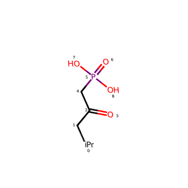 CC(C)CC(=O)CP(=O)(O)O